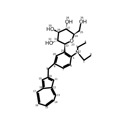 CCN(CC)c1ccc(Cc2cc3cccccc-3c2)cc1[C@@H]1O[C@H](CO)[C@@H](O)[C@H](O)[C@H]1O